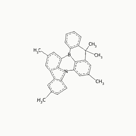 Cc1cc2c3c(c1)C(C)(C)c1ccccc1B3c1cc(C)cc3c4cc(C)ccc4n-2c13